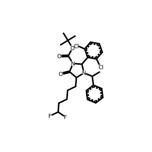 CC(c1ccccc1)N1C(CCCCC(F)F)C(=O)N(C(=O)OC(C)(C)C)C1c1c(Cl)cccc1Cl